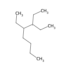 CCCCC(CC)[C](CC)CC